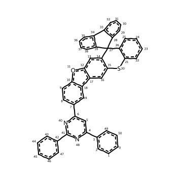 c1ccc(-c2cc(-c3ccc4oc5cc6c(cc5c4c3)Sc3ccccc3C63c4ccccc4-c4ccccc43)nc(-c3ccccc3)n2)cc1